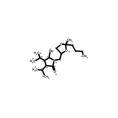 CCCCC1(C)OCC(CN2C(=O)C(C(C)C)C(C(C)C)C2O)O1